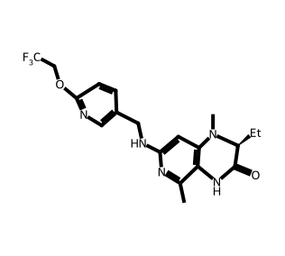 CC[C@H]1C(=O)Nc2c(cc(NCc3ccc(OCC(F)(F)F)nc3)nc2C)N1C